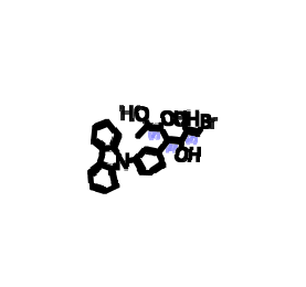 C\C(O)=C(O)/C(=C(O)\C(O)=C\Br)c1cccc(-n2c3ccccc3c3ccccc32)c1